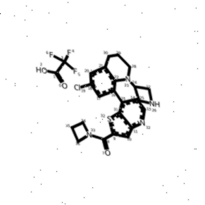 O=C(O)C(F)(F)F.O=C(c1cc2nccc(-c3cc(Cl)cc4c3N(C3CNC3)CCC4)c2s1)N1CCC1